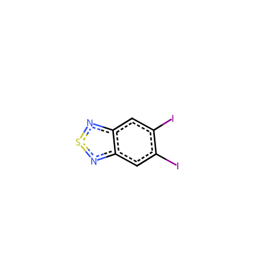 Ic1cc2nsnc2cc1I